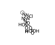 O=P(O)(O)COC=C1O[C@@H](n2cnc3c(N4CCCCC4)nc(Cl)nc32)[C@H](O)[C@@H]1O